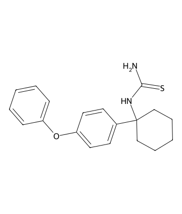 NC(=S)NC1(c2ccc(Oc3ccccc3)cc2)CCCCC1